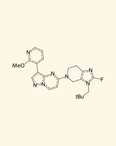 COc1ncccc1-c1cnn2ccc(N3CCc4nc(F)n(CC(C)(C)C)c4C3)nc12